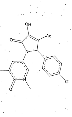 CC(=O)C1=C(O)C(=O)N(c2cc(C)c(=O)n(C)c2)C1c1ccc(Cl)cc1